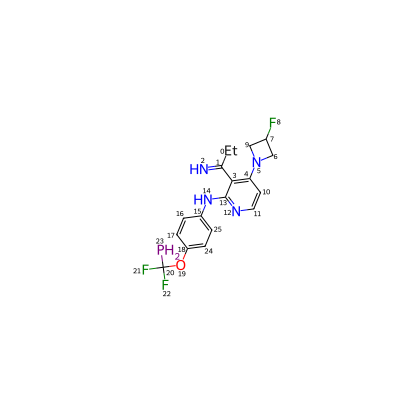 CCC(=N)c1c(N2CC(F)C2)ccnc1Nc1ccc(OC(F)(F)P)cc1